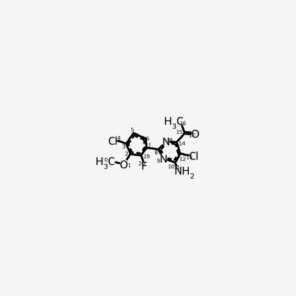 COc1c(Cl)ccc(-c2nc(N)c(Cl)c(C(C)=O)n2)c1F